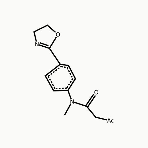 CC(=O)CC(=O)N(C)c1ccc(C2=NCCO2)cc1